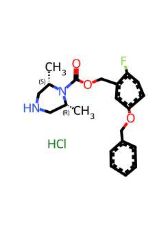 C[C@@H]1CNC[C@H](C)N1C(=O)OCc1cc(OCc2ccccc2)ccc1F.Cl